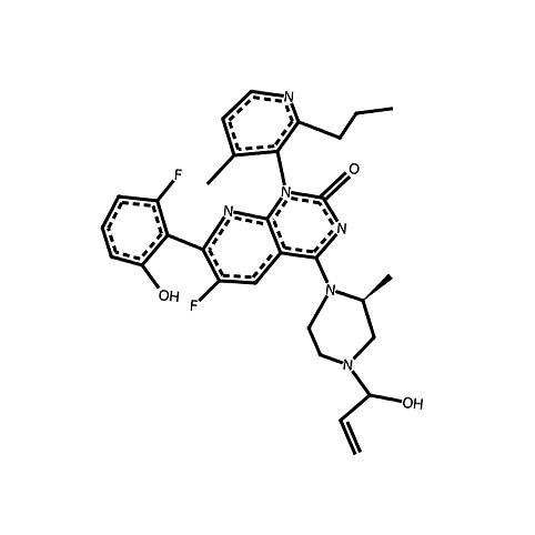 C=CC(O)N1CCN(c2nc(=O)n(-c3c(C)ccnc3CCC)c3nc(-c4c(O)cccc4F)c(F)cc23)[C@@H](C)C1